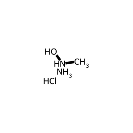 CNO.Cl.N